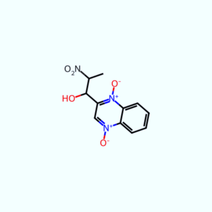 CC(C(O)c1c[n+]([O-])c2ccccc2[n+]1[O-])[N+](=O)[O-]